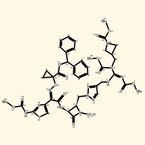 CC(C)(C)OC(=O)/N=C(\NCc1cnn(C[C@@H]2[C@H](NC(=O)/C(=N\OC3(C(=O)OC(c4ccccc4)c4ccccc4)CC3)c3csc(NC(=O)OC(C)(C)C)n3)C(=O)N2S(=O)(=O)O)n1)N(CC1CN(C(=O)OC(C)(C)C)C1)C(=O)OC(C)(C)C